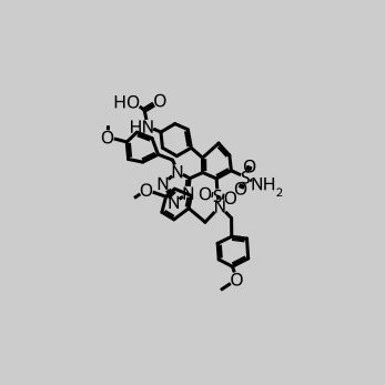 COc1ccc(CN(Cc2ccc(OC)cc2)S(=O)(=O)c2c(S(N)(=O)=O)ccc(C3=CCC(NC(=O)O)CC3)c2-c2nnnn2Cc2ccc(OC)cc2)cc1